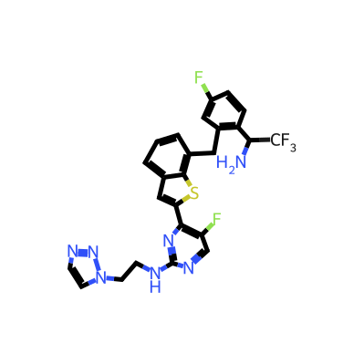 NC(c1ccc(F)cc1Cc1cccc2cc(-c3nc(NCCn4ccnn4)ncc3F)sc12)C(F)(F)F